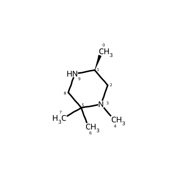 C[C@H]1CN(C)C(C)(C)CN1